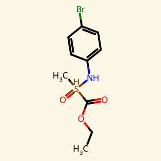 CCOC(=O)[SH](C)(=O)Nc1ccc(Br)cc1